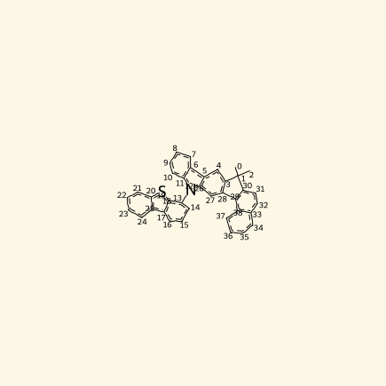 CC1(C)c2cc3c4ccccc4n(-c4cccc5c4sc4ccccc45)c3cc2-c2c1ccc1ccccc21